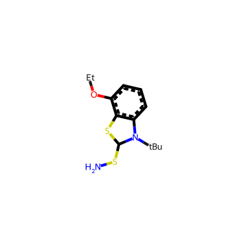 CCOc1cccc2c1SC(SN)N2C(C)(C)C